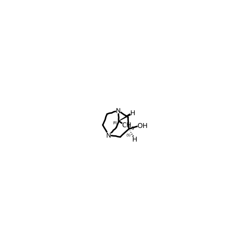 C[C@@H]1CN2CCN1C[C@@H](O)C2